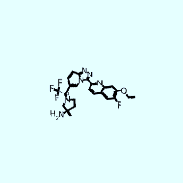 CCOc1cc2nc(-c3nnc4ccc([C@H](N5CCC(C)(N)C5)C(F)(F)F)cn34)ccc2cc1F